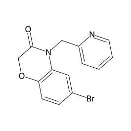 O=C1COc2ccc(Br)cc2N1Cc1ccccn1